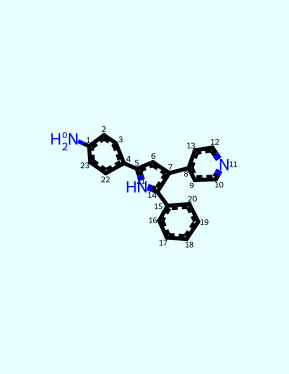 Nc1ccc(-c2cc(-c3ccncc3)c(-c3ccccc3)[nH]2)cc1